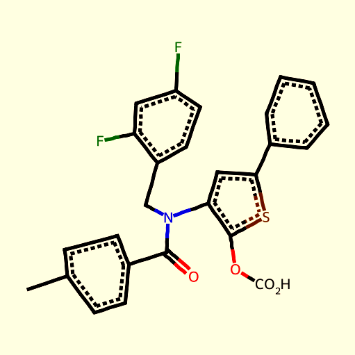 Cc1ccc(C(=O)N(Cc2ccc(F)cc2F)c2cc(-c3ccccc3)sc2OC(=O)O)cc1